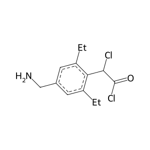 CCc1cc(CN)cc(CC)c1C(Cl)C(=O)Cl